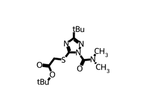 CN(C)C(=O)n1nc(C(C)(C)C)nc1SCC(=O)OC(C)(C)C